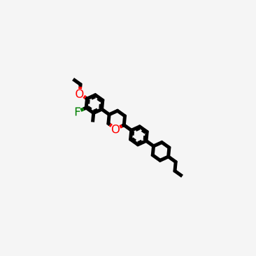 CCCC1CCC(c2ccc(C3CCC(c4ccc(OCC)c(F)c4C)CO3)cc2)CC1